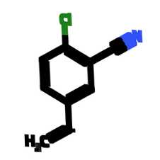 C=[C]c1ccc(Cl)c(C#N)c1